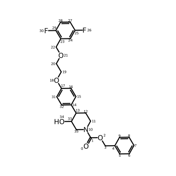 O=C(OCc1ccccc1)N1CCC(c2ccc(OCCOCc3cc(F)ccc3F)cc2)C(O)C1